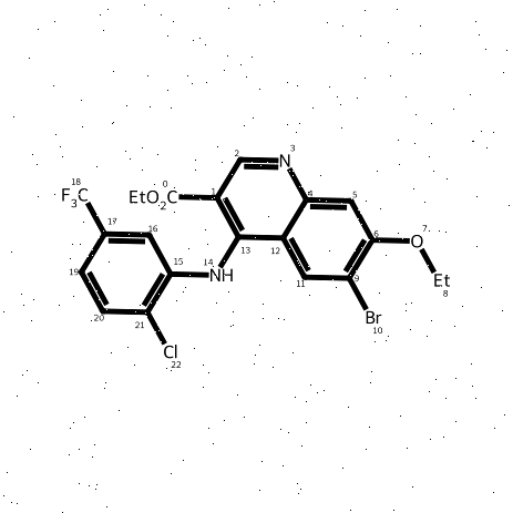 CCOC(=O)c1cnc2cc(OCC)c(Br)cc2c1Nc1cc(C(F)(F)F)ccc1Cl